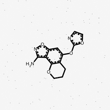 Nc1noc2cc(Oc3ncco3)c3c(c12)OCCC3